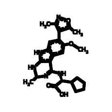 COc1cc2c3c([nH]c2cc1-c1c(C)noc1C)NC(C)N=C3N[C@H](C(=O)O)C1CCCC1